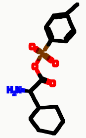 Cc1ccc(S(=O)(=O)OC(=O)[C@H](N)C2CCCCC2)cc1